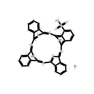 O=S(=O)(O)c1cccc2c3nc4nc(nc5[nH]c(nc6nc(nc([nH]3)c12)-c1ccccc1-6)c1ccccc51)-c1ccccc1-4.[Ru]